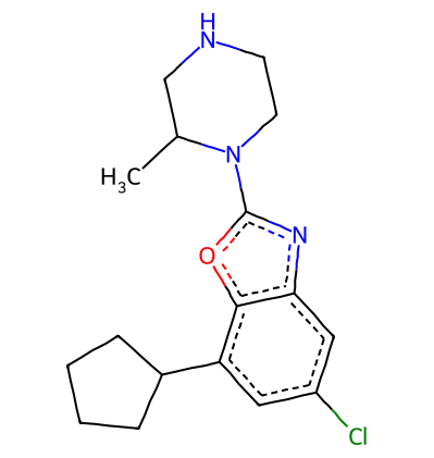 CC1CNCCN1c1nc2cc(Cl)cc(C3CCCC3)c2o1